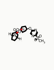 CC(C)OC(=O)N1[C@@H]2CC[C@H]1C[C@H](O[C@H]1CC[C@H](Oc3cnc(S(C)(=O)=O)cn3)CC1)C2